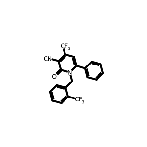 [C-]#[N+]c1c(C(F)(F)F)cc(-c2ccccc2)n(Cc2ccccc2C(F)(F)F)c1=O